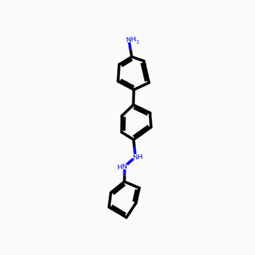 Nc1ccc(-c2ccc(NNc3ccccc3)cc2)cc1